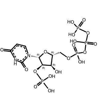 O=c1ccn([C@@H]2O[C@H](COP(=O)(O)OP(=O)(O)OP(=O)(O)O)[C@@H](O)[C@H]2OP(=O)(O)O)c(=O)[nH]1